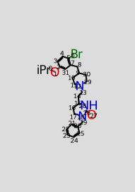 CC(C)Oc1ccc(Br)c(CC2CCN(CCC3CCN(Cc4ccccc4)C(=O)N3)CC2)c1